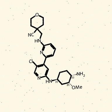 CO[C@@H]1C[C@@H](Nc2cc(-c3cccc(NCC4(C#N)CCOCC4)n3)c(Cl)cn2)CC[C@@H]1N